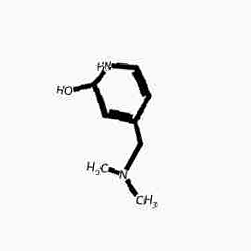 CN(C)CC1=CC(O)NC=C1